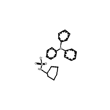 O=S(=O)([O-])NC1CCCCC1.c1ccc([S+](c2ccccc2)c2ccccc2)cc1